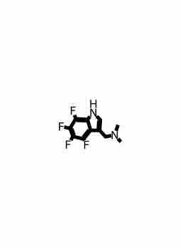 CN(C)Cc1c[nH]c2c(F)c(F)c(F)c(F)c12